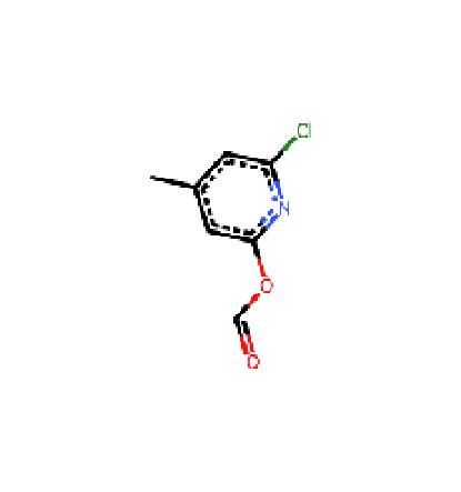 Cc1cc(Cl)nc(OC=O)c1